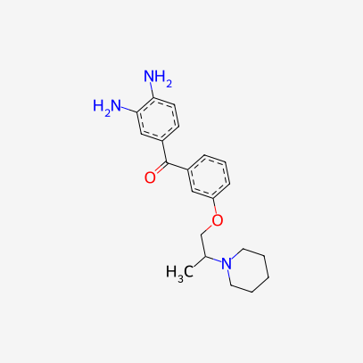 CC(COc1cccc(C(=O)c2ccc(N)c(N)c2)c1)N1CCCCC1